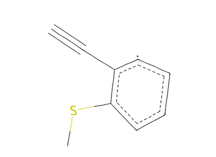 C#Cc1[c]cccc1SC